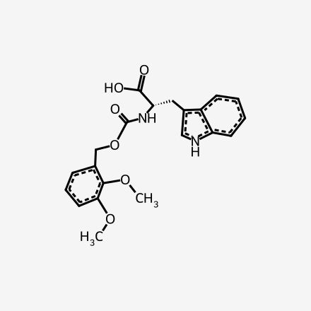 COc1cccc(COC(=O)N[C@@H](Cc2c[nH]c3ccccc23)C(=O)O)c1OC